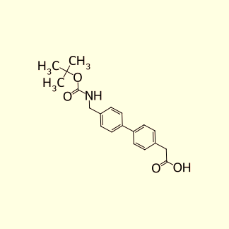 CC(C)(C)OC(=O)NCc1ccc(-c2ccc(CC(=O)O)cc2)cc1